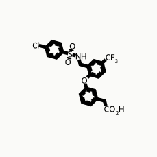 O=C(O)Cc1cccc(Oc2ccc(C(F)(F)F)cc2CNS(=O)(=O)c2ccc(Cl)cc2)c1